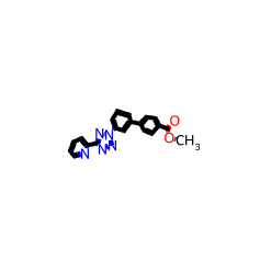 COC(=O)c1ccc(-c2cccc(-n3nnc(-c4ccccn4)n3)c2)cc1